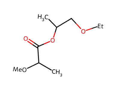 CCOCC(C)OC(=O)C(C)OC